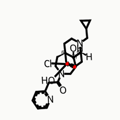 O=C(Cc1ccccn1)N1CC[C@]23CCN(CC4CC4)[C@H](Cc4ccc(O)c(Cl)c42)[C@]3(O)CC1